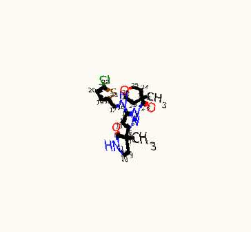 CC1(C(=O)n2nc(C3(C)CCNC3=O)cc2NCc2ccc(Cl)s2)CCOCC1